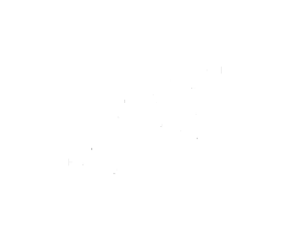 CC(C)C=C1Oc2cc(O)ccc2C1=O